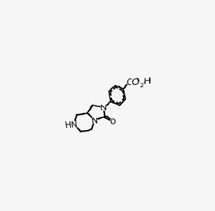 O=C(O)c1ccc(N2CC3CNCCN3C2=O)cc1